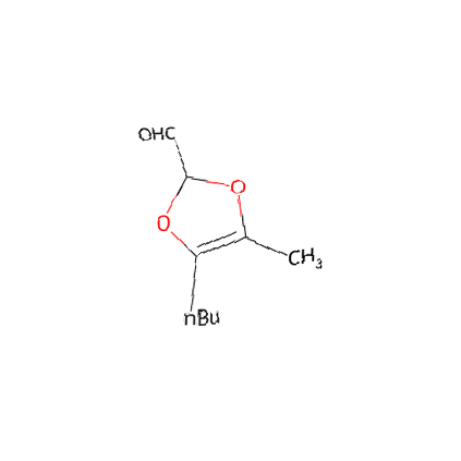 CCCCC1=C(C)OC(C=O)O1